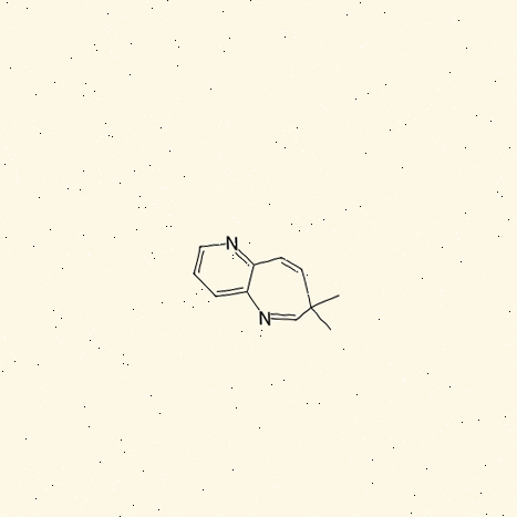 CC1(C)C=Cc2ncccc2N=C1